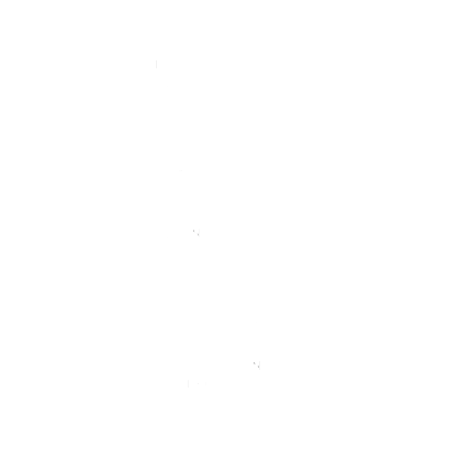 O=c1cc(OCc2ccc(F)cc2)ccn1CCc1ccc(C2CCCN2CCO)cc1